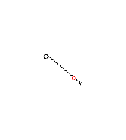 CC(C)(C)CCCOCCCCCCCCCCCCCCCc1ccccc1